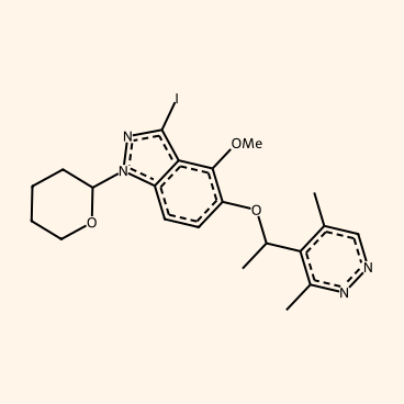 COc1c(OC(C)c2c(C)cnnc2C)ccc2c1c(I)nn2C1CCCCO1